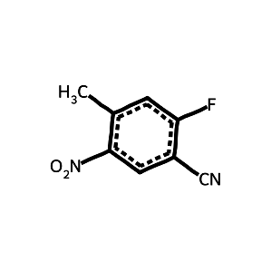 Cc1cc(F)c(C#N)cc1[N+](=O)[O-]